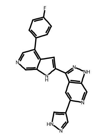 Fc1ccc(-c2cncc3[nH]c(-c4n[nH]c5cnc(-c6cn[nH]c6)cc45)cc23)cc1